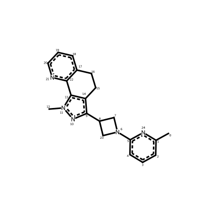 Cc1cccc(N2CC(c3nn(C)c4c3CCc3cccnc3-4)C2)n1